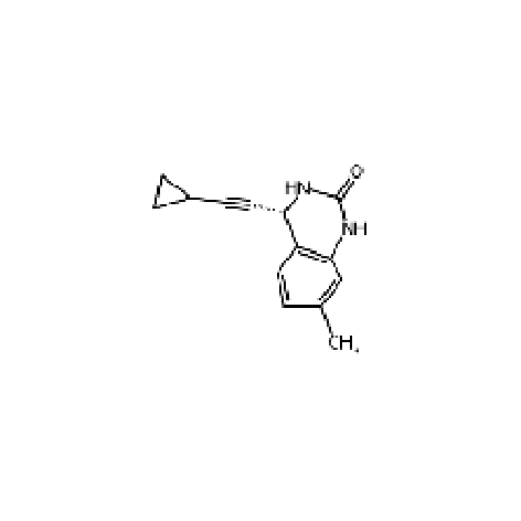 Cc1ccc2c(c1)NC(=O)N[C@H]2C#CC1CC1